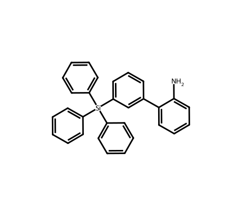 Nc1ccccc1-c1cccc([Si](c2ccccc2)(c2ccccc2)c2ccccc2)c1